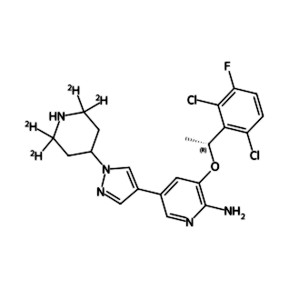 [2H]C1([2H])CC(n2cc(-c3cnc(N)c(O[C@H](C)c4c(Cl)ccc(F)c4Cl)c3)cn2)CC([2H])([2H])N1